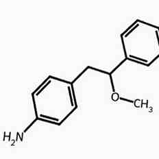 COC(Cc1ccc(N)cc1)c1ccccc1